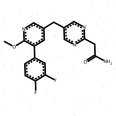 COc1ncc(Cc2cnc(CC(N)=O)nc2)cc1-c1ccc(F)c(F)c1